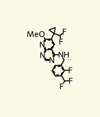 COc1nc2ncnc(N[C@H](C)c3cccc(C(F)F)c3F)c2cc1C1(C(F)F)CC1